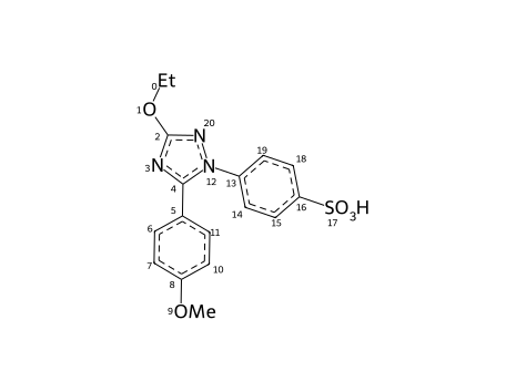 CCOc1nc(-c2ccc(OC)cc2)n(-c2ccc(S(=O)(=O)O)cc2)n1